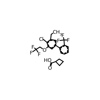 CCc1cc(-c2ccccc2C(F)(F)F)cc(OCC(F)(F)F)c1Cl.O=C(O)C1CCC1